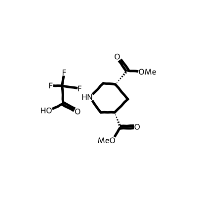 COC(=O)[C@@H]1CNC[C@H](C(=O)OC)C1.O=C(O)C(F)(F)F